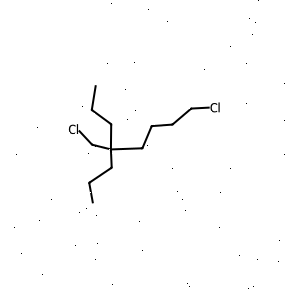 CCCC(CCl)(CCC)CCCCCl